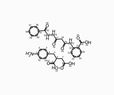 Nc1ccc(CC(CC(=O)O)C(=O)O)cc1.O=C(CC(=O)Nc1ccccc1C(=O)O)NNC(=O)c1ccccc1